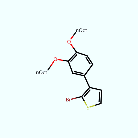 CCCCCCCCOc1ccc(-c2ccsc2Br)cc1OCCCCCCCC